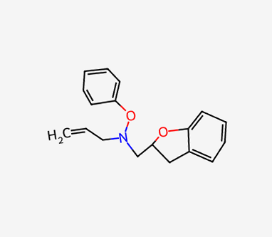 C=CCN(CC1Cc2ccccc2O1)Oc1ccccc1